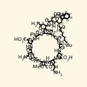 CCC(C)CCCCCCC(=O)NC(Cc1c[nH]c2ccccc12)C(=O)NC(CCC(=O)O)C(=O)NC(CC(N)=O)C(=O)NC1C(=O)N(C)CC(=O)NC(C)C(=O)NC(CC(=O)O)C(=O)NC(CCCCN)C(=O)NC(C(OC)C(=O)O)C(=O)NCC(=O)NC(CC(N)=O)C(=O)NC(CCC(=O)O)C(=O)NC(C(C)C)C(=O)OC1C